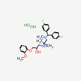 COc1ccccc1OCC(O)CNC(C)(C)CN(C)C(c1ccc(F)cc1)c1ccc(F)cc1.Cl.Cl